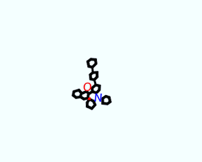 c1ccc(-c2ccc(-c3ccc(N(c4ccccc4)c4ccccc4)c4c3oc3c5ccccc5ccc34)cc2)cc1